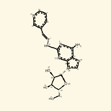 Nc1nc(NN=Cc2cccnc2)nc2c1ncn2[C@@H]1O[C@H](CO)[C@@H](O)[C@H]1O